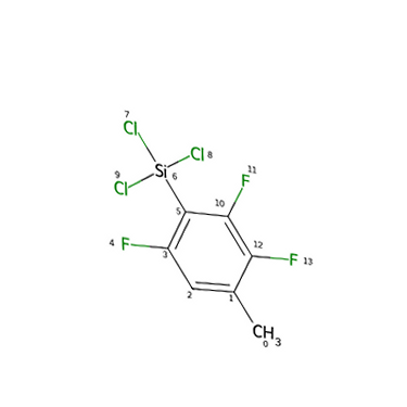 Cc1cc(F)c([Si](Cl)(Cl)Cl)c(F)c1F